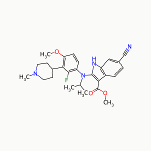 COC(=O)c1c(N(c2ccc(OC)c(C3CCN(C)CC3)c2F)C(C)C)[nH]c2cc(C#N)ccc12